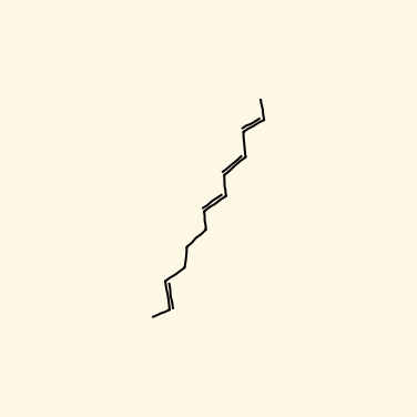 CC=CC=CC=CCCCC=CC